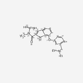 CCN(CC)Cc1cc(Oc2cccc3cc(C(=O)N(C)C(=N)N)[nH]c23)ccn1